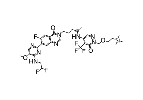 COc1cnc(-c2cc3ncn(CCC[C@H](C)Nc4cnn(COCC[Si](C)(C)C)c(=O)c4C(F)(F)F)c(=O)c3cc2F)nc1NCC(F)F